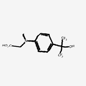 CN(CC(=O)O)c1ccc(C(O)(C(F)(F)F)C(F)(F)F)cc1